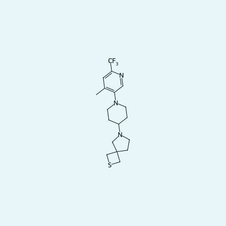 Cc1cc(C(F)(F)F)ncc1N1CCC(N2CCC3(CSC3)C2)CC1